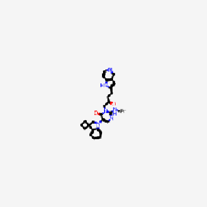 CC(C)Nc1ncc(NCC2(c3ccccc3)CCC2)c(=O)n1CC(=O)CCc1cc2cnccc2[nH]1